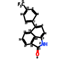 O=C1Nc2ccc(-c3ccc(C(F)(F)F)cc3)c3cccc1c23